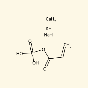 C=CC(=O)OP(=O)(O)O.[CaH2].[KH].[NaH]